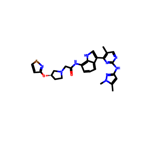 Cc1cnc(Nc2cc(C)n(C)n2)nc1-c1c[nH]c2c(NC(=O)CN3CC[C@H](Oc4ccsn4)C3)cccc12